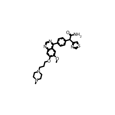 COc1cc2c(-c3ccc(C(C(N)=O)c4cscn4)cc3)ncnc2cc1OCCCN1CCN(C)CC1